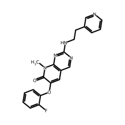 Cn1c(=O)c(Oc2ccccc2F)cc2cnc(NCCc3cccnc3)nc21